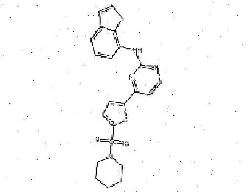 O=S(=O)(c1ccc(-c2ccnc(Nc3cccc4ccsc34)n2)s1)N1CCCCC1